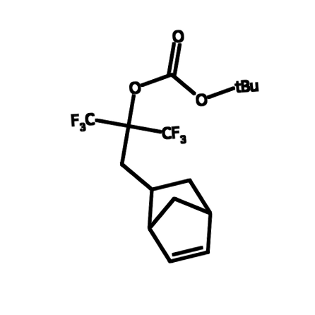 CC(C)(C)OC(=O)OC(CC1CC2C=CC1C2)(C(F)(F)F)C(F)(F)F